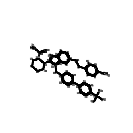 Cc1ccc(COc2ccc3nc([C@H]4CCCC[C@@H]4C(=O)O)n(Cc4ccc(-c5ccc(C(F)(F)F)cc5)cc4)c3c2)nc1